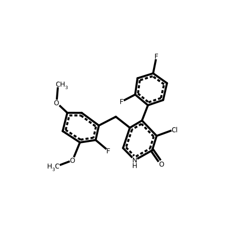 COc1cc(Cc2c[nH]c(=O)c(Cl)c2-c2ccc(F)cc2F)c(F)c(OC)c1